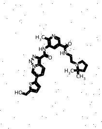 Cc1ncc(C(=O)NCCN2CCCC2(C)C)cc1NC(=O)c1nnn2cc(-c3ccc(CO)s3)ccc12